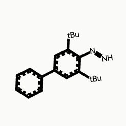 CC(C)(C)c1cc(-c2ccccc2)cc(C(C)(C)C)c1N=N